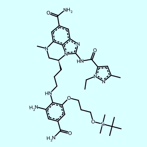 CCn1nc(C)cc1C(=O)Nc1nc2cc(C(N)=O)cc3c2n1[C@@H](CCCNc1c(N)cc(C(N)=O)cc1OCCCO[Si](C)(C)C(C)(C)C)CN3C